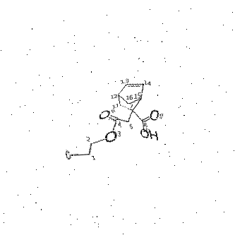 CCCOC(=O)CC1(C(=O)O)CC2C=CC1C2